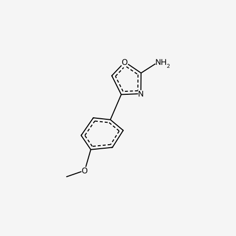 COc1ccc(-c2coc(N)n2)cc1